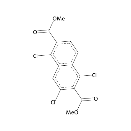 COC(=O)c1ccc2c(Cl)c(C(=O)OC)c(Cl)cc2c1Cl